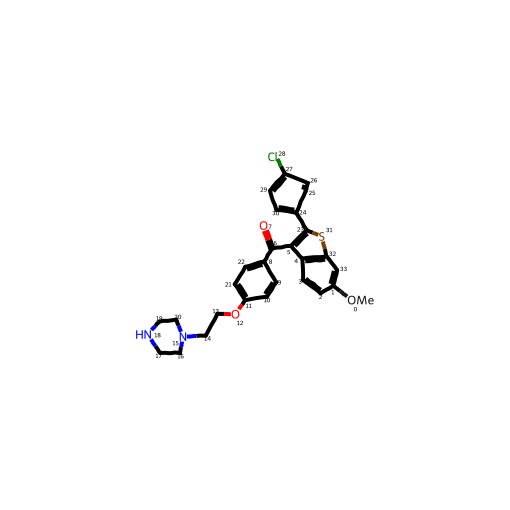 COc1ccc2c(C(=O)c3ccc(OCCN4CCNCC4)cc3)c(-c3ccc(Cl)cc3)sc2c1